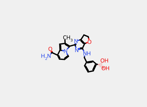 Cc1cc2c(C(N)=O)cccn2c1-c1nc2c(c(NCc3cccc(B(O)O)c3)n1)OCC2